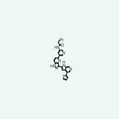 CC(C)CC(=O)Nc1cncc(-c2ccc3[nH]nc(-c4cc5c(-c6cccs6)cncc5[nH]4)c3n2)c1